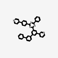 c1ccc(-c2cccc(-c3cc(-c4cccnc4)cc(-c4nc(-c5ccccc5)nc(-c5ccc(-c6ccncc6)cc5)n4)c3)c2)cc1